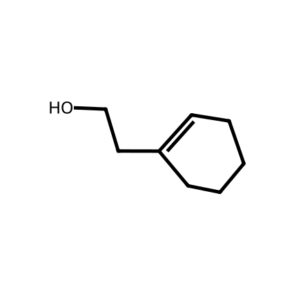 OCCC1=CCCCC1